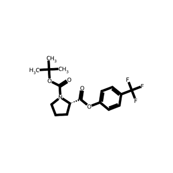 CC(C)(C)OC(=O)N1CCC[C@H]1C(=O)Oc1ccc(C(F)(F)F)cc1